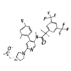 Cc1cc(F)ccc1-c1cc(N2CC[C@H](C[S+](C)[O-])C2)ncc1N(C)C(=O)C(C)(C)c1cc(C(F)(F)F)cc(C(F)(F)F)c1